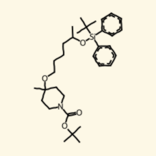 CC(CCCCOC1(C)CCN(C(=O)OC(C)(C)C)CC1)O[Si](c1ccccc1)(c1ccccc1)C(C)(C)C